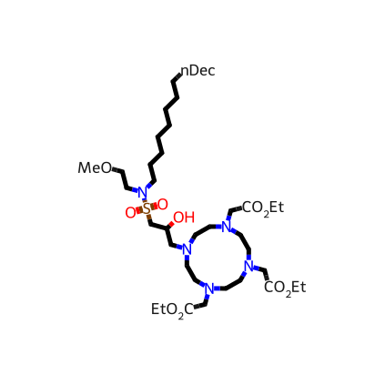 CCCCCCCCCCCCCCCCCCN(CCOC)S(=O)(=O)CC(O)CN1CCN(CC(=O)OCC)CCN(CC(=O)OCC)CCN(CC(=O)OCC)CC1